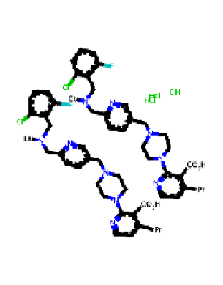 CCN(Cc1ccc(CN2CCN(c3nccc(C(C)C)c3C(=O)O)CC2)cn1)Cc1c(F)cccc1Cl.CCN(Cc1ccc(CN2CCN(c3nccc(C(C)C)c3C(=O)O)CC2)cn1)Cc1c(F)cccc1Cl.Cl.Cl.Cl